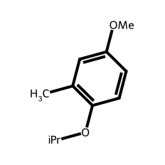 COc1ccc(OC(C)C)c(C)c1